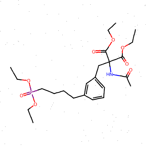 CCOC(=O)C(Cc1cccc(CCCCP(=O)(OCC)OCC)c1)(NC(C)=O)C(=O)OCC